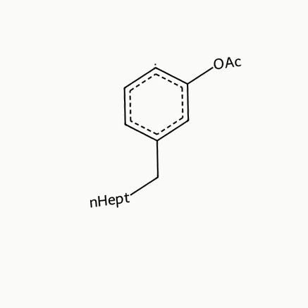 CCCCCCCCc1cc[c]c(OC(C)=O)c1